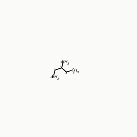 BCC(B)CC